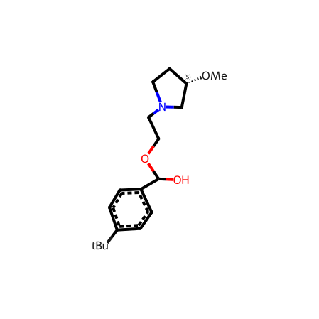 CO[C@H]1CCN(CCOC(O)c2ccc(C(C)(C)C)cc2)C1